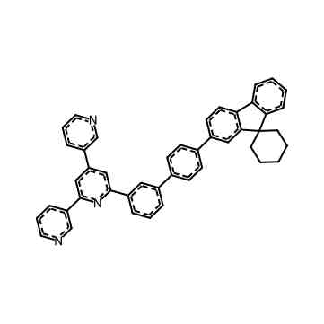 c1cncc(-c2cc(-c3cccnc3)nc(-c3cccc(-c4ccc(-c5ccc6c(c5)C5(CCCCC5)c5ccccc5-6)cc4)c3)c2)c1